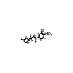 Cc1cnn(C(C)(C)C(=O)Nc2ccc([N+](=O)[O-])c(Cl)c2)c1